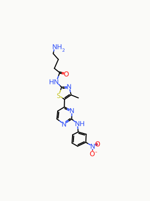 Cc1nc(NC(=O)CCCN)sc1-c1ccnc(Nc2cccc([N+](=O)[O-])c2)n1